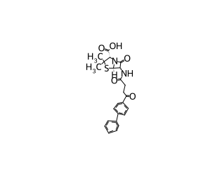 CC1(C)S[C@@H]2[C@H](NC(=O)CCC(=O)c3ccc(-c4ccccc4)cc3)C(=O)N2[C@H]1C(=O)O